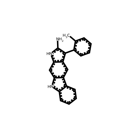 Cc1ccccc1-c1c(N)[nH]c2cc3[nH]c4ccccc4c3cc12